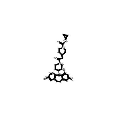 O=C(CC1CCN(C(=O)NC2CC2)CC1)N1CCC([C@H]2c3ncc(Br)cc3CCc3cc(Cl)cc(Br)c32)CC1